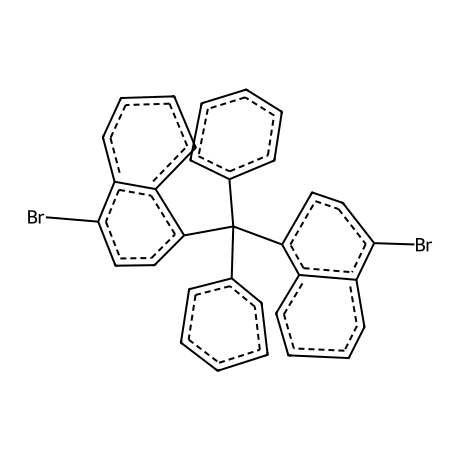 Brc1ccc(C(c2ccccc2)(c2ccccc2)c2ccc(Br)c3ccccc23)c2ccccc12